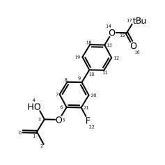 C=C(C)C(O)Oc1ccc(-c2ccc(OC(=O)C(C)(C)C)cc2)cc1F